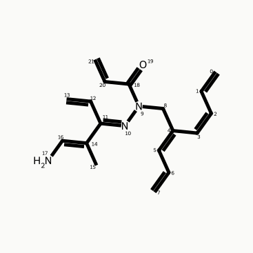 C=C/C=C\C(=C/C=C)CN(/N=C(C=C)/C(C)=C/N)C(=O)C=C